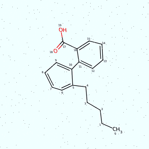 CCCCCc1ccccc1-c1ccccc1C(=O)O